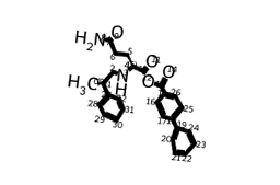 C[C@@H](CN[C@@H](CCC(N)=O)C(=O)OC(=O)c1ccc(-c2ccccc2)cc1)c1ccccc1